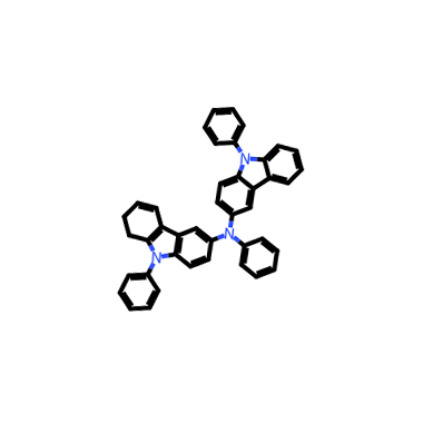 C1=Cc2c(n(-c3ccccc3)c3ccc(N(c4ccccc4)c4ccc5c(c4)c4ccccc4n5-c4ccccc4)cc23)CC1